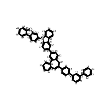 C1=C(c2ccc(-c3cccc(-c4ccccc4)c3)cc2)Cc2ccc(-c3ccc4c(c3)c3ccccc3n4-c3ccc4c(c3)oc3ccccc34)cc2-c2ccccc21